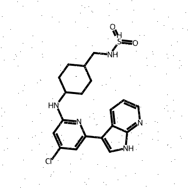 O=[SH](=O)NCC1CCC(Nc2cc(Cl)cc(-c3c[nH]c4ncccc34)n2)CC1